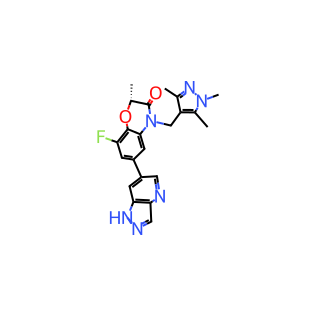 Cc1nn(C)c(C)c1CN1C(=O)[C@@H](C)Oc2c(F)cc(-c3cnc4cn[nH]c4c3)cc21